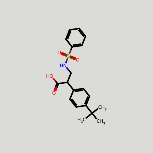 CC(C)(C)c1ccc(C(CNS(=O)(=O)c2ccccc2)C(=O)O)cc1